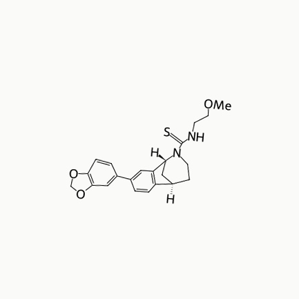 COCCNC(=S)N1CC[C@@H]2C[C@@H]1c1cc(-c3ccc4c(c3)OCO4)ccc12